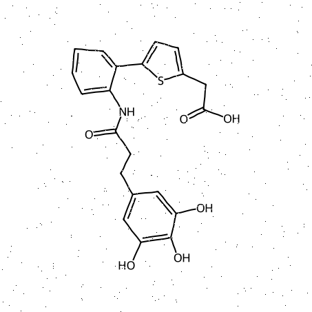 O=C(O)Cc1ccc(-c2ccccc2NC(=O)CCc2cc(O)c(O)c(O)c2)s1